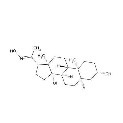 C/C(=N\O)[C@H]1CC[C@]2(O)[C@@H]3CC[C@@H]4C[C@@H](O)CC[C@]4(C)[C@H]3CC[C@]12C